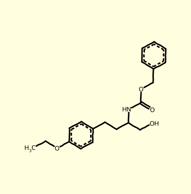 CCOc1ccc(CCC(CO)NC(=O)OCc2ccccc2)cc1